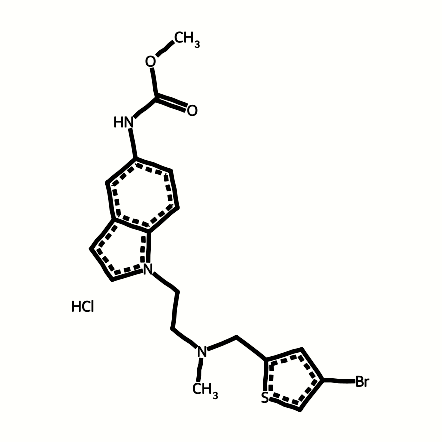 COC(=O)Nc1ccc2c(ccn2CCN(C)Cc2cc(Br)cs2)c1.Cl